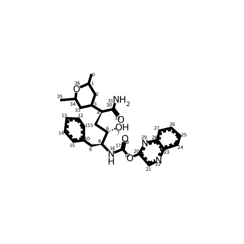 CC1CC([C@H](C[C@H](O)[C@H](Cc2ccccc2)NC(=O)Oc2cnc3ccccc3n2)C(N)=O)CC(C)O1